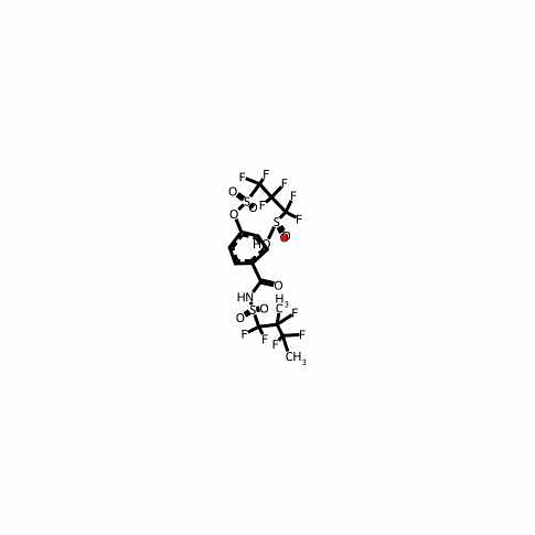 CC(F)(F)C(C)(F)C(F)(F)S(=O)(=O)NC(=O)c1ccc(OS(=O)(=O)C(F)(F)C(F)(F)C(F)(F)S(=O)(=O)O)cc1